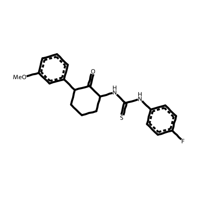 COc1cccc(C2CCCC(NC(=S)Nc3ccc(F)cc3)C2=O)c1